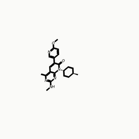 CNc1nc(C)c2cc(-c3ccc(OC)nc3)c(=O)n([C@H]3CC[C@H](C)CC3)c2n1